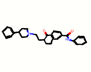 O=C(Nc1ccccc1)c1ccc2c(c1)CCC(CCN1CCC(c3ccccc3)CC1)C2=O